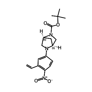 C=Cc1cc(N2C[C@@H]3C[C@H]2CN3C(=O)OC(C)(C)C)ccc1[N+](=O)[O-]